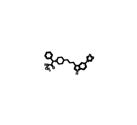 CNC(=O)C(c1ccccc1)N1CCC(CCCc2c[nH]c3ccc(-n4cnnc4)cc23)CC1